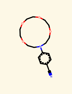 N#Cc1ccc(N2CCOCCOCCOCCOCC2)cc1